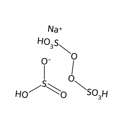 O=S(=O)(O)OOS(=O)(=O)O.O=S([O-])O.[Na+]